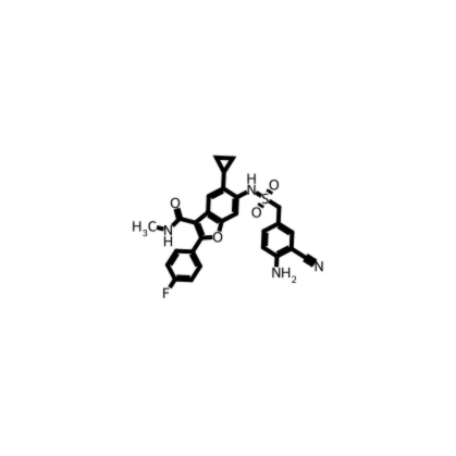 CNC(=O)c1c(-c2ccc(F)cc2)oc2cc(NS(=O)(=O)Cc3ccc(N)c(C#N)c3)c(C3CC3)cc12